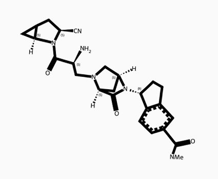 CNC(=O)c1ccc2c(c1)CC[C@H]2N1C(=O)[C@@H]2C[C@H]1CN2C[C@H](N)C(=O)N1[C@H](C#N)CC2C[C@@H]21